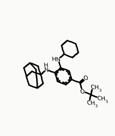 CC(C)(C)OC(=O)c1ccc(NC23CC4CC(CC(C4)C2)C3)c(NC2CCCCC2)c1